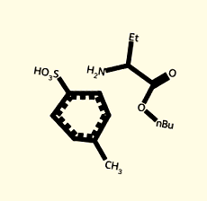 CCCCOC(=O)C(N)CC.Cc1ccc(S(=O)(=O)O)cc1